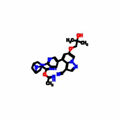 CC(=N)OC(=N)CN1C2CC1CN(c1ccc(-c3cc(OCC(C)(C)O)cn4ncc(C#N)c34)cn1)C2